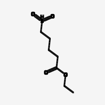 CCOC(=O)CCCC[SH](=O)=O